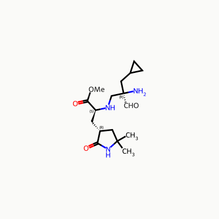 COC(=O)[C@H](C[C@@H]1CC(C)(C)NC1=O)NC[C@@](N)(C=O)CC1CC1